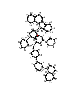 c1ccc(-c2cccc(N(c3ccc(-c4cccc(-c5cccc6ccccc56)c4)cc3)c3ccccc3-c3ccc(-n4c5ccccc5c5ccc6ccccc6c54)cc3)c2)cc1